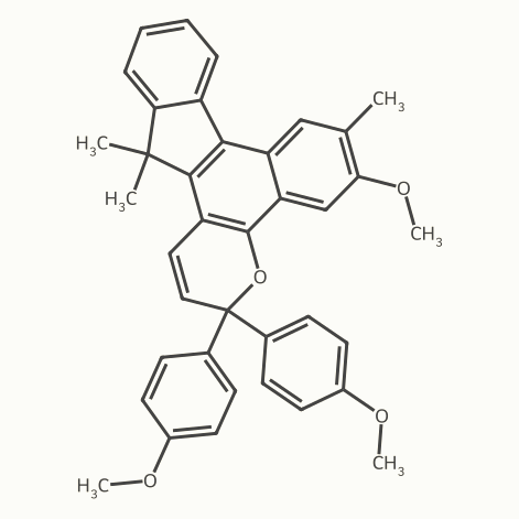 COc1ccc(C2(c3ccc(OC)cc3)C=Cc3c4c(c5cc(C)c(OC)cc5c3O2)-c2ccccc2C4(C)C)cc1